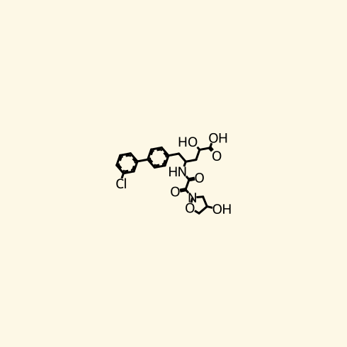 O=C(NC(Cc1ccc(-c2cccc(Cl)c2)cc1)CC(O)C(=O)O)C(=O)N1CC(O)CO1